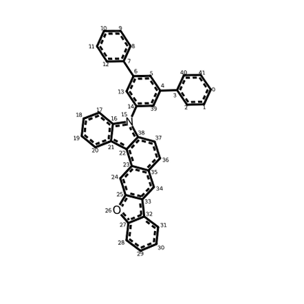 c1ccc(-c2cc(-c3ccccc3)cc(-n3c4ccccc4c4c5cc6oc7ccccc7c6cc5ccc43)c2)cc1